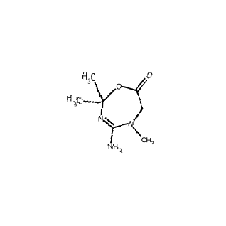 CN1CC(=O)OC(C)(C)N=C1N